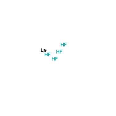 F.F.F.F.[La]